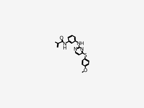 C=C(C)C(=O)Nc1cccc(Nc2nccc(Sc3ccc(OC)cc3)n2)c1